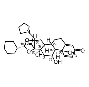 C[C@]12C=CC(=O)C=C1CC[C@@H]1[C@@H]2[C@@H](O)C[C@@]2(C)[C@H]1C[C@H]1O[C@@H](C3CCCCC3)O[C@]12C(=O)CN1CCCC1